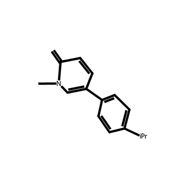 C=C1C=CC(c2ccc(C(C)C)cc2)=CN1C